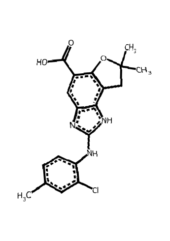 Cc1ccc(Nc2nc3cc(C(=O)O)c4c(c3[nH]2)CC(C)(C)O4)c(Cl)c1